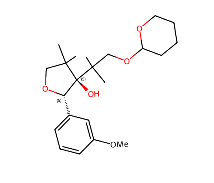 COc1cccc([C@@H]2OCC(C)(C)[C@]2(O)C(C)(C)COC2CCCCO2)c1